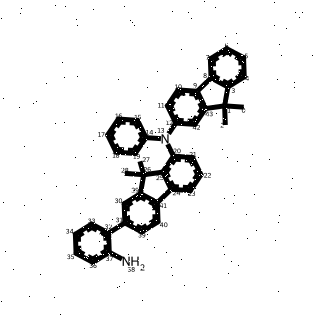 CC1(C)c2ccccc2-c2ccc(N(c3ccccc3)c3cccc4c3C(C)(C)c3cc(-c5ccccc5N)ccc3-4)cc21